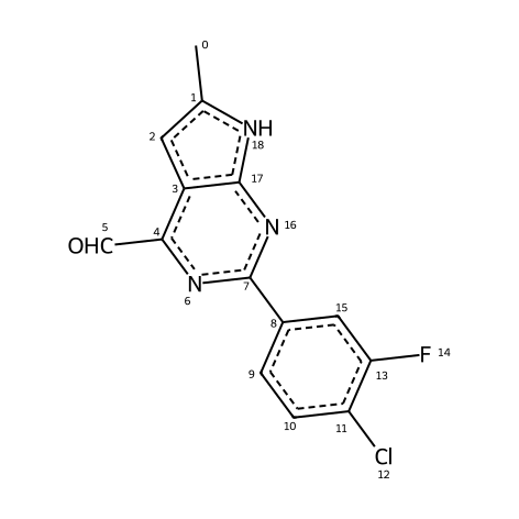 Cc1cc2c(C=O)nc(-c3ccc(Cl)c(F)c3)nc2[nH]1